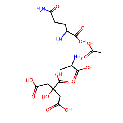 CC(=O)O.CC(N)C(=O)O.NC(=O)CCC(N)C(=O)O.O=C(O)CC(O)(CC(=O)O)C(=O)O